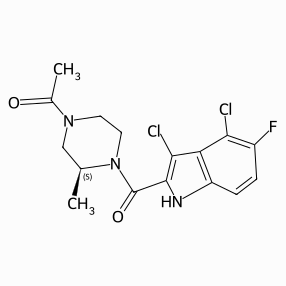 CC(=O)N1CCN(C(=O)c2[nH]c3ccc(F)c(Cl)c3c2Cl)[C@@H](C)C1